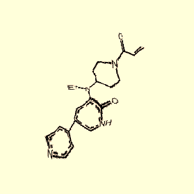 C=CC(=O)N1CCC(N(CC)c2cc(-c3ccncc3)c[nH]c2=O)CC1